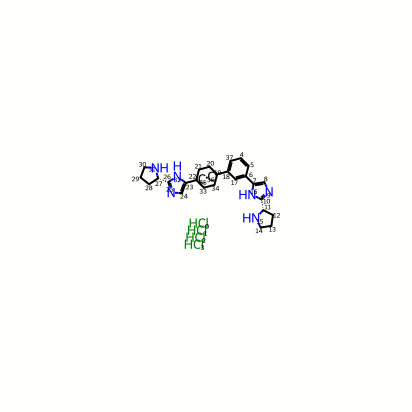 Cl.Cl.Cl.Cl.c1cc(-c2cnc([C@@H]3CCCN3)[nH]2)cc(C23CCC(c4cnc([C@@H]5CCCN5)[nH]4)(CC2)CC3)c1